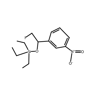 CC[Si](CC)(CC)OC(CI)c1cccc([N+](=O)[O-])c1